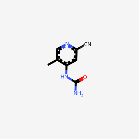 Cc1cnc(C#N)cc1NC(N)=O